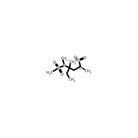 CCC(C)(C[C@H](C)[SH](=O)=O)N(C)S(C)(=O)=O